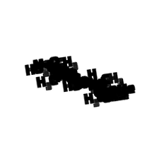 COC(=O)N[C@H](C(=O)N1C[C@@H](C)C[C@H]1c1ncc(-c2ccc3c(c2)COc2cc4c(ccc5nc([C@@H]6C[C@H](C)CN6C(=O)[C@@H](NC(=O)O)[C@@H](C)OC)[nH]c54)cc2-3)[nH]1)[C@@H](C)OC